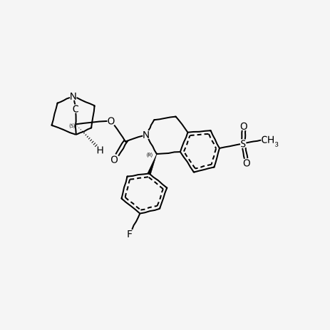 CS(=O)(=O)c1ccc2c(c1)CCN(C(=O)O[C@@H]1CN3CCC1CC3)[C@@H]2c1ccc(F)cc1